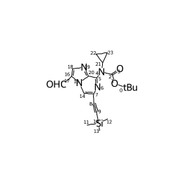 CC(C)(C)OC(=O)N(c1nc(C#C[Si](C)(C)C)cn2c(C=O)cnc12)C1CC1